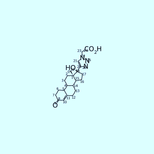 C[C@]12CCC3C4CCC(=O)C=C4CCC3C1CC[C@@]2(O)c1cn(CC(=O)O)nn1